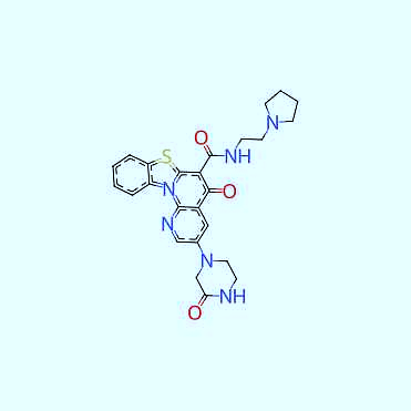 O=C1CN(c2cnc3c(c2)c(=O)c(C(=O)NCCN2CCCC2)c2sc4ccccc4n23)CCN1